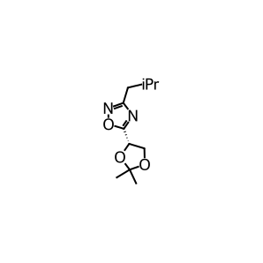 CC(C)Cc1noc([C@@H]2COC(C)(C)O2)n1